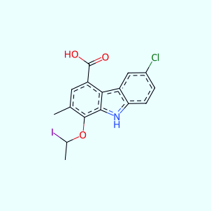 Cc1cc(C(=O)O)c2c([nH]c3ccc(Cl)cc32)c1OC(C)I